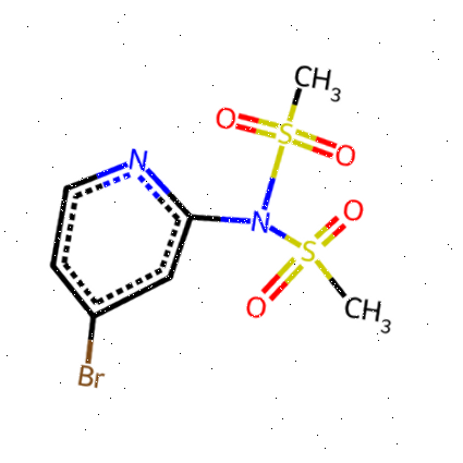 CS(=O)(=O)N(c1cc(Br)ccn1)S(C)(=O)=O